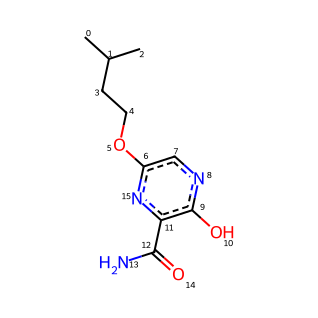 CC(C)CCOc1cnc(O)c(C(N)=O)n1